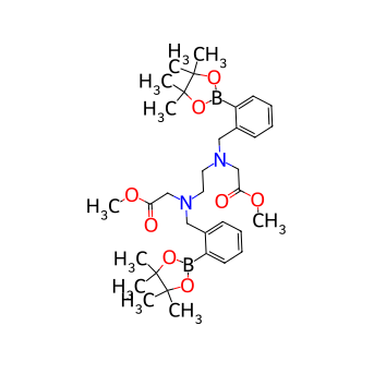 COC(=O)CN(CCN(CC(=O)OC)Cc1ccccc1B1OC(C)(C)C(C)(C)O1)Cc1ccccc1B1OC(C)(C)C(C)(C)O1